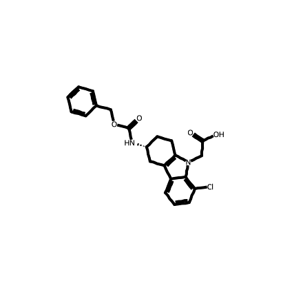 O=C(O)Cn1c2c(c3cccc(Cl)c31)C[C@H](NC(=O)OCc1ccccc1)CC2